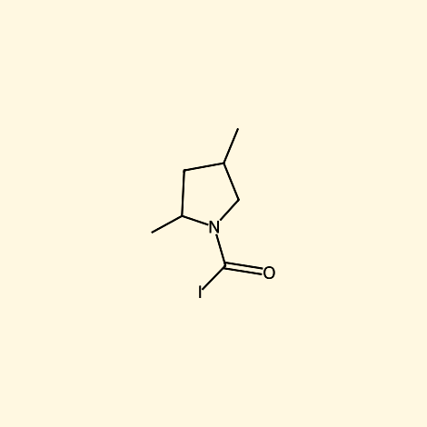 CC1CC(C)N(C(=O)I)C1